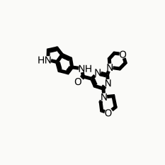 O=C(Nc1ccc2[nH]ccc2c1)c1cc(N2CCOCC2)nc(N2CCOCC2)n1